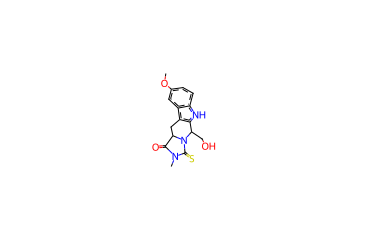 COc1ccc2[nH]c3c(c2c1)CC1C(=O)N(C)C(=S)N1C3CO